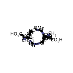 C/C=C/[C@H](OC(=O)CCC(=O)O)C(C)(C)[C@@H]1C/C=C\C2OC2/C=C/[C@H](OC)Cc2nc(co2)C(=O)O[C@H](C(C)(C)[C@H](/C=C/C)OC(=O)CCC(=O)O)C/C=C\[C@H]2O[C@H]2/C=C/C=C\c2nc(co2)C(=O)O1